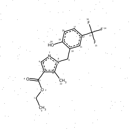 CCOC(=O)c1cnn(Cc2cc(C(F)(F)F)ccc2O)c1C